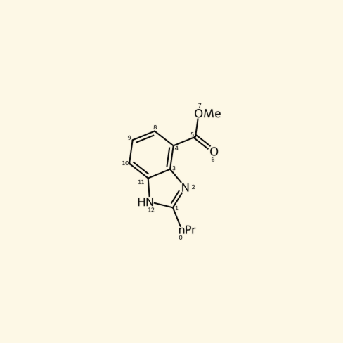 CCCc1nc2c(C(=O)OC)cccc2[nH]1